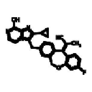 C/C(C#N)=C1/c2ccc(Cc3c(C4CC4)nc4c(O)nccn34)cc2COc2cc(F)ccc21